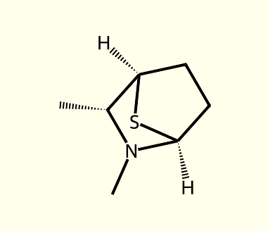 C[C@@H]1[C@H]2CC[C@H](S2)N1C